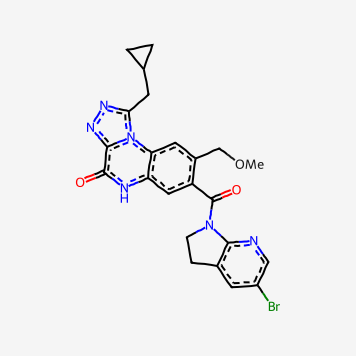 COCc1cc2c(cc1C(=O)N1CCc3cc(Br)cnc31)[nH]c(=O)c1nnc(CC3CC3)n12